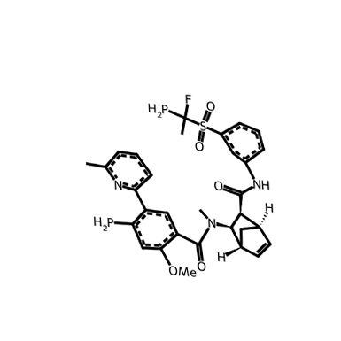 COc1cc(P)c(-c2cccc(C)n2)cc1C(=O)N(C)[C@H]1[C@@H](C(=O)Nc2cccc(S(=O)(=O)C(C)(F)P)c2)[C@H]2C=C[C@H]1C2